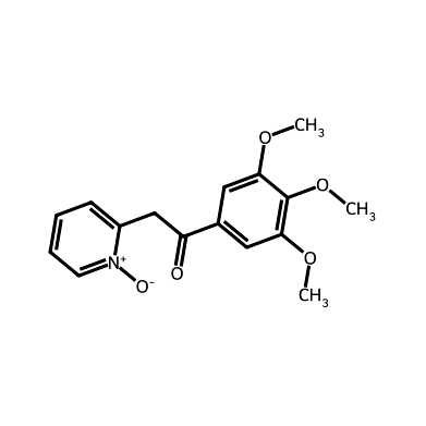 COc1cc(C(=O)Cc2cccc[n+]2[O-])cc(OC)c1OC